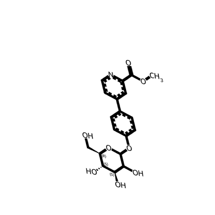 COC(=O)c1cc(-c2ccc(OC3O[C@H](CO)[C@@H](O)[C@H](O)C3O)cc2)ccn1